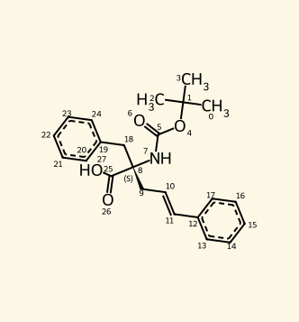 CC(C)(C)OC(=O)N[C@@](CC=Cc1ccccc1)(Cc1ccccc1)C(=O)O